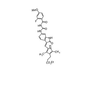 CCOC(=O)CCc1c(C)[nH]c(C=C2C(=O)Nc3cc(NC(=O)NC(=O)c4ccc(OC)cc4F)ccc32)c1C